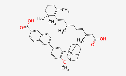 CC1=C(/C=C/C(C)=C/C=C/C(C)=C/C(=O)O)C(C)(C)CCC1.COc1ccc(-c2ccc3cc(C(=O)O)ccc3c2)cc1C12CC3CC(CC(C3)C1)C2